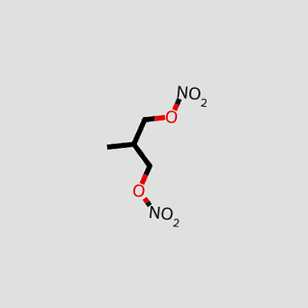 CC(CO[N+](=O)[O-])CO[N+](=O)[O-]